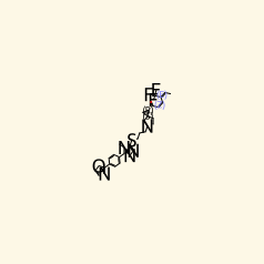 C=C(/C=C\C(=C/C)C(F)(F)F)[C@H]1C[C@]12CCN(CCCSc1nnc(-c3ccc(-c4ncco4)cc3)n1C)C2